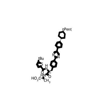 CCCCC[C@H]1CC[C@H](c2ccc(-c3cnc(-c4ccc(C[C@H](NC(=O)c5ccc(C(C)(C)C)s5)C(=O)N[C@H](C)C(=O)O)cc4)nc3)cc2)CC1